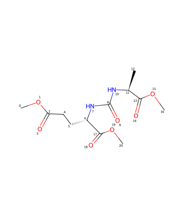 COC(=O)CC[C@H](NC(=O)N[C@@H](C)C(=O)OC)C(=O)OC